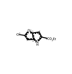 CCOC(=O)c1cc2oc(Cl)cc2[nH]1